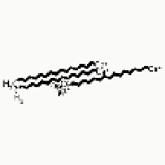 CCCCCCCCCCCCCCC[CH2][Ca+].CCCCCCCCCCCCCCC[CH2][Ca+].CCCCCCCCCCCCCCC[CH2][Ca+].[O-]B([O-])[O-]